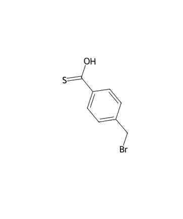 OC(=S)c1ccc(CBr)cc1